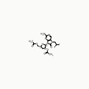 CC(=O)OC[C@@H]1C[C@@H](OC(C)=O)[C@H](n2c(=O)n(CC(F)F)c3cnc(N)nc32)O1